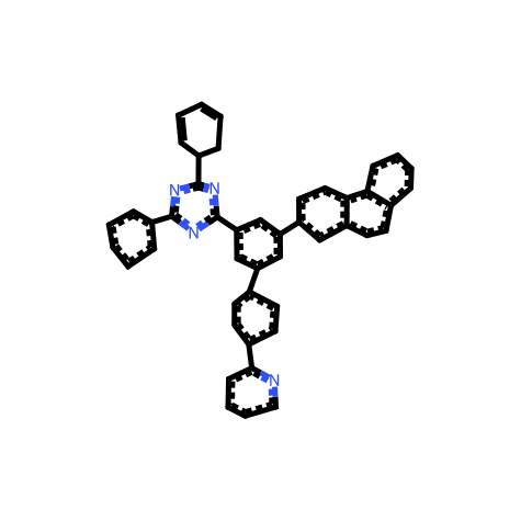 C1=CCC(c2nc(-c3ccccc3)nc(-c3cc(-c4ccc(-c5ccccn5)cc4)cc(-c4ccc5c(ccc6ccccc65)c4)c3)n2)C=C1